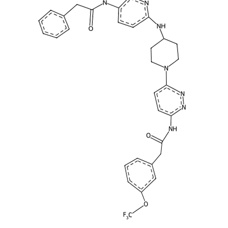 O=C(Cc1ccccc1)Nc1ccc(NC2CCN(c3ccc(NC(=O)Cc4cccc(OC(F)(F)F)c4)nn3)CC2)nn1